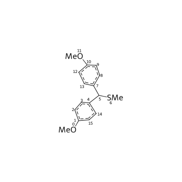 COc1ccc(C(SC)c2ccc(OC)cc2)cc1